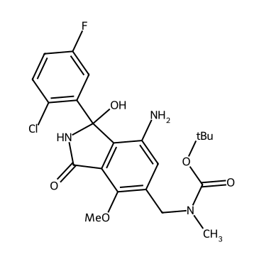 COc1c(CN(C)C(=O)OC(C)(C)C)cc(N)c2c1C(=O)NC2(O)c1cc(F)ccc1Cl